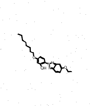 CCCCCCCCOc1ccc(-n2nc3ccc(OCC)cc3n2)c(O)c1